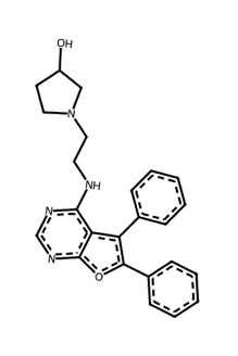 OC1CCN(CCNc2ncnc3oc(-c4ccccc4)c(-c4ccccc4)c23)C1